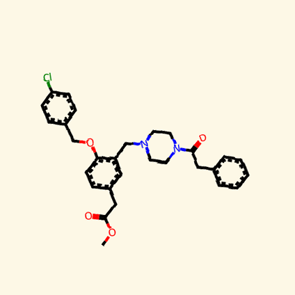 COC(=O)Cc1ccc(OCc2ccc(Cl)cc2)c(CN2CCN(C(=O)Cc3ccccc3)CC2)c1